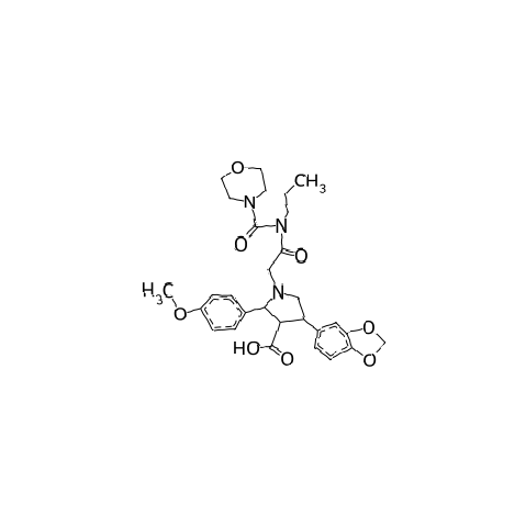 CCCN(C(=O)CN1CC(c2ccc3c(c2)OCO3)C(C(=O)O)C1c1ccc(OC)cc1)C(=O)N1CCOCC1